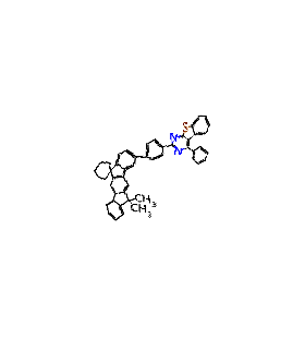 CC1(C)c2ccccc2-c2cc3c(cc21)-c1cc(-c2ccc(-c4nc(-c5ccccc5)c5c(n4)sc4ccccc45)cc2)ccc1C31CCCCC1